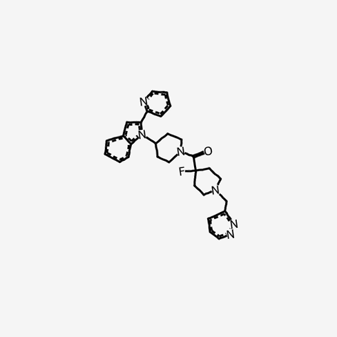 O=C(N1CCC(n2c(-c3ccccn3)cc3ccccc32)CC1)C1(F)CCN(Cc2cccnn2)CC1